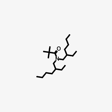 CCCCC(CC)CN(CC(CC)CCCC)C(=O)C(C)(C)C